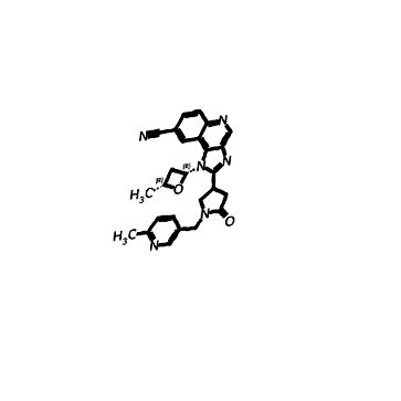 Cc1ccc(CN2CC(c3nc4cnc5ccc(C#N)cc5c4n3[C@H]3C[C@@H](C)O3)CC2=O)cn1